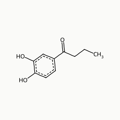 CCCC(=O)c1ccc(O)c(O)c1